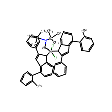 CCCCc1ccccc1-c1cccc2c1C=C(c1ccccc1)[CH]2[Zr]([Cl])([Cl])([BH]N([Si](C)(C)C)[Si](C)(C)C)[CH]1C(c2ccccc2)=Cc2c(-c3ccccc3CCCC)cccc21